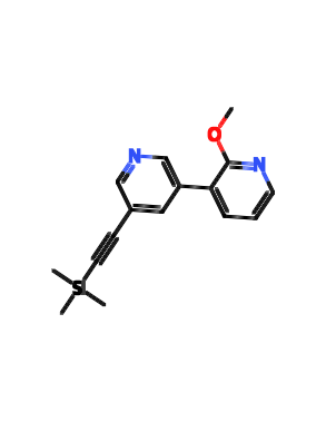 COc1ncccc1-c1cncc(C#C[Si](C)(C)C)c1